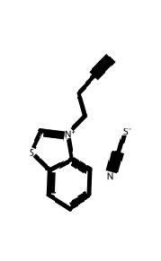 C#CCC[n+]1csc2ccccc21.N#C[S-]